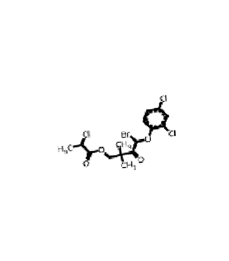 CC(Cl)C(=O)OCC(C)(C)C(=O)C(Br)Oc1ccc(Cl)cc1Cl